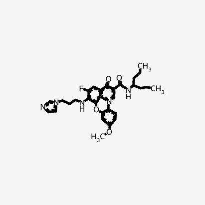 CCCC(CCC)NC(=O)c1cn2c3c(c(NCCCn4ccnc4)c(F)cc3c1=O)Oc1cc(OC)ccc1-2